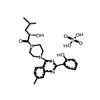 Cc1ccc2c(N3CCN(C(=O)[C@H](O)CC(C)C)CC3)nc(-c3ccccc3O)nc2c1.O=S(=O)(O)O